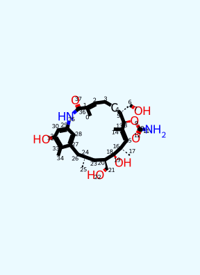 C/C1=C\CC[C@H](CO)[C@@H](OC(N)=O)/C(C)=C/[C@H](C)[C@@H](O)[C@@H](CO)C[C@H](C)Cc2cc(cc(O)c2C)NC1=O